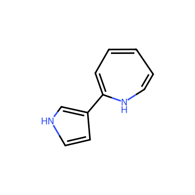 C1=CC=C(c2cc[nH]c2)NC=C1